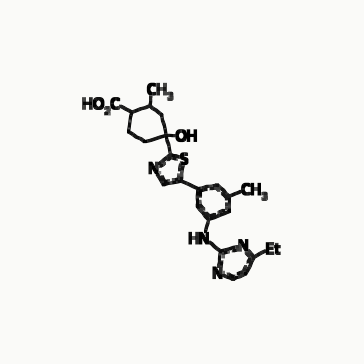 CCc1ccnc(Nc2cc(C)cc(-c3cnc(C4(O)CCC(C(=O)O)C(C)C4)s3)c2)n1